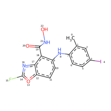 Cc1cc(I)ccc1Nc1ccc2oc(F)nc2c1C(=O)NO